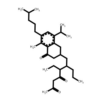 CCCC(CC1CC(=O)c2c(C)c(CCCC(C)C)cc(C(C)C)c2C1)C(CC)C(=O)CC(C)=O